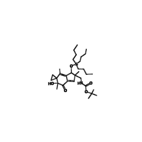 CCCC[Si](CCCC)(CCCC)OC1C2=C(C)C3(CC3)C(C)(O)C(=O)C2=CC1(C)CNC(=O)OC(C)(C)C